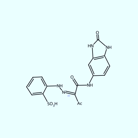 CC(=O)/C(=N/Nc1ccccc1S(=O)(=O)O)C(=O)Nc1ccc2[nH]c(=O)[nH]c2c1